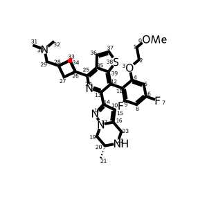 COCCOc1cc(F)cc(F)c1-c1c(-c2cc3n(n2)C[C@@H](C)NC3)nc(C23CC(CN(C)C)(C2)C3)c2ccsc12